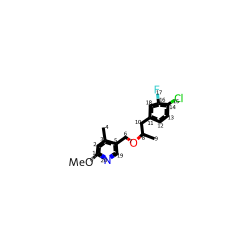 COc1cc(C)c(COC(C)Cc2ccc(Cl)c(F)c2)cn1